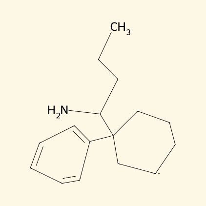 CCCC(N)C1(c2ccccc2)C[CH]CCC1